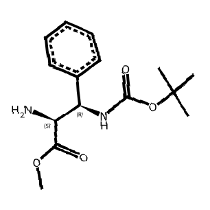 COC(=O)[C@@H](N)[C@H](NC(=O)OC(C)(C)C)c1ccccc1